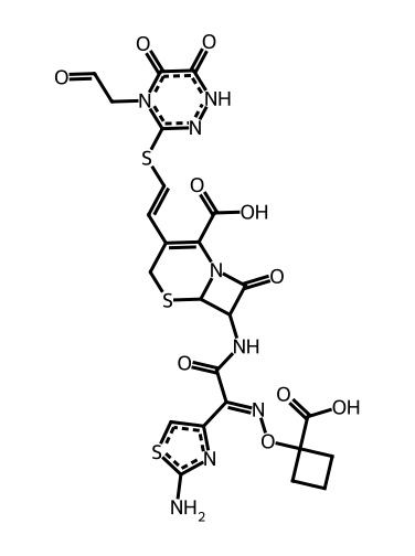 Nc1nc(C(=NOC2(C(=O)O)CCC2)C(=O)NC2C(=O)N3C(C(=O)O)=C(C=CSc4n[nH]c(=O)c(=O)n4CC=O)CSC23)cs1